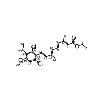 CCOC(=O)C=C(C)C=CC=C(C)C=Cc1c(Cl)cc(OC)c(CC)c1Cl